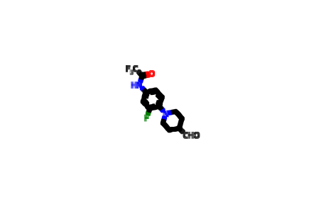 O=CC1CCN(c2ccc(NC(=O)C(F)(F)F)cc2F)CC1